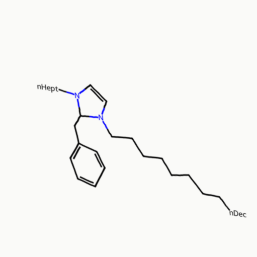 CCCCCCCCCCCCCCCCCCN1C=CN(CCCCCCC)C1Cc1ccccc1